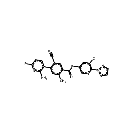 C#Cc1cc(C(=O)Nc2cnc(-n3nccn3)c(Cl)c2)c(C)cc1-c1ccc(F)nc1N